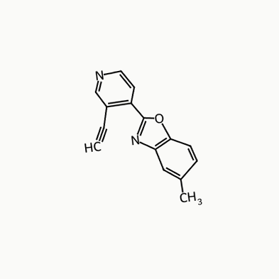 C#Cc1cnccc1-c1nc2cc(C)ccc2o1